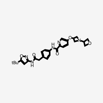 CC(C)(C)c1cc(NC(=O)Cc2ccc(NC(=O)c3ccc(OC4CN(C5COC5)C4)cn3)cc2)no1